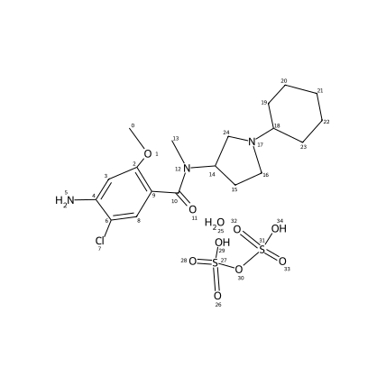 COc1cc(N)c(Cl)cc1C(=O)N(C)C1CCN(C2CCCCC2)C1.O.O=S(=O)(O)OS(=O)(=O)O